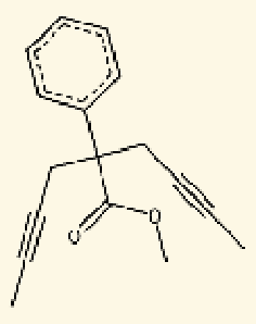 CC#CCC(CC#CC)(C(=O)OC)c1ccccc1